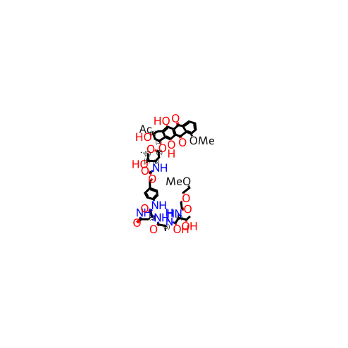 COCCOCC(=O)N[C@@H](C(C)O)C(O)N[C@@H](C)C(=O)N[C@@H](CC(N)=O)C(=O)Nc1ccc(COC(=O)N[C@H]2C[C@H](O[C@H]3C[C@](O)(C(C)=O)Cc4c(O)c5c(c(O)c43)C(=O)c3c(OC)cccc3C5=O)O[C@@H](C)[C@H]2O)cc1